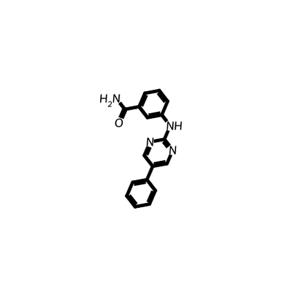 NC(=O)c1cccc(Nc2ncc(-c3ccccc3)cn2)c1